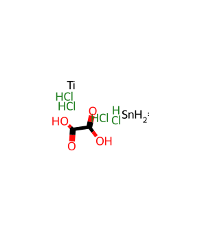 Cl.Cl.Cl.Cl.O=C(O)C(=O)O.[SnH2].[Ti]